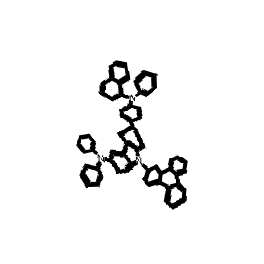 c1ccc(N(c2ccccc2)c2ccc3c(c2)c2cc(-c4ccc(N(c5ccccc5)c5cccc6ccccc56)cc4)ccc2n3-c2ccc3c4ccccc4c4ccccc4c3c2)cc1